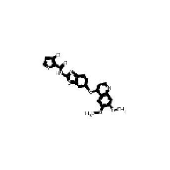 COc1cc2nccc(Oc3ccc4nc(NC(=O)c5sccc5Cl)sc4c3)c2cc1OC